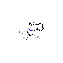 CC1=C(C)C(C)C(c2ccccc2C)=N1